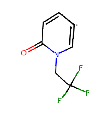 O=c1cc[c]cn1CC(F)(F)F